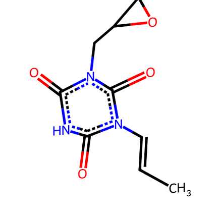 CC=Cn1c(=O)[nH]c(=O)n(CC2CO2)c1=O